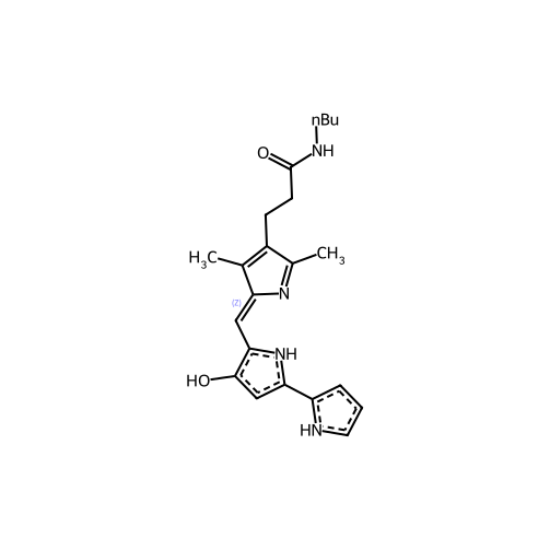 CCCCNC(=O)CCC1=C(C)/C(=C/c2[nH]c(-c3ccc[nH]3)cc2O)N=C1C